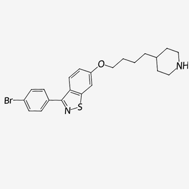 Brc1ccc(-c2nsc3cc(OCCCCC4CCNCC4)ccc23)cc1